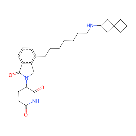 O=C1CCC(N2Cc3c(CCCCCCCNC4CC5(CCC5)C4)cccc3C2=O)C(=O)N1